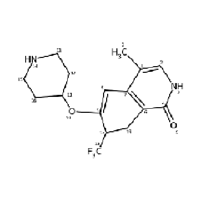 Cc1c[nH]c(=O)c2c1C=C(OC1CCNCC1)C(C(F)(F)F)C2